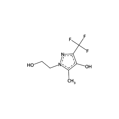 Cc1c(O)c(C(F)(F)F)nn1CCO